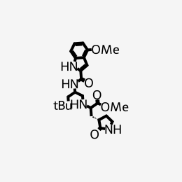 COC(=O)C(C[C@@H]1CCNC1=O)NCC(CC(C)(C)C)NC(=O)c1cc2c(OC)cccc2[nH]1